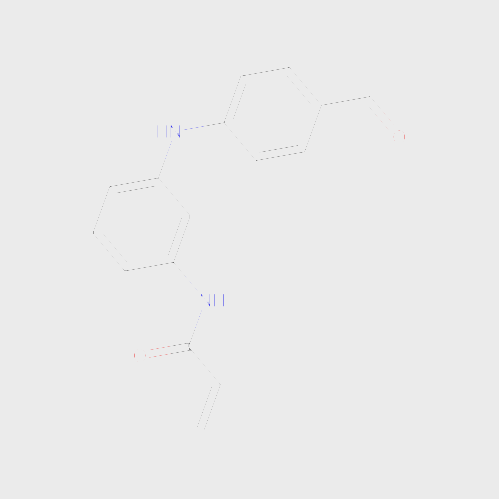 C=CC(=O)Nc1cccc(Nc2ccc(C=O)cc2)c1